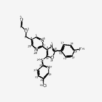 O=COCc1cnc(-c2nc(-c3ccc(F)cc3)oc2Sc2ccc(Cl)cn2)nc1